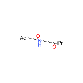 CC(=O)CCCCC(=O)NCCCCCC(=O)C(C)C